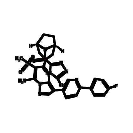 Cc1nnc(C(=O)N2[C@@H]3CC[C@H]2C[C@@H](c2nc4c(-c5ccc(-c6ccc(F)cc6)nc5)cnn4c(N)c2S(C)(=O)=O)C3)[nH]1